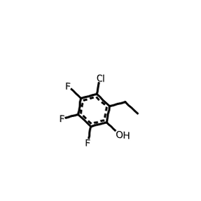 CCc1c(O)c(F)c(F)c(F)c1Cl